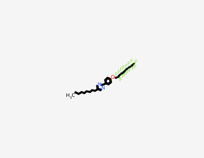 CCCCCCCCCc1cnc(-c2ccc(OCC(F)(F)C(F)(F)C(F)(F)C(F)(F)C(F)(F)C(F)(F)C(F)(F)F)cc2)nc1